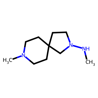 CNN1CCC2(CCN(C)CC2)C1